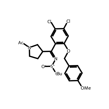 COc1ccc(COc2cc(Cl)c(Cl)cc2C(=N[S+]([O-])C(C)(C)C)C2CCN(C(C)=O)C2)cc1